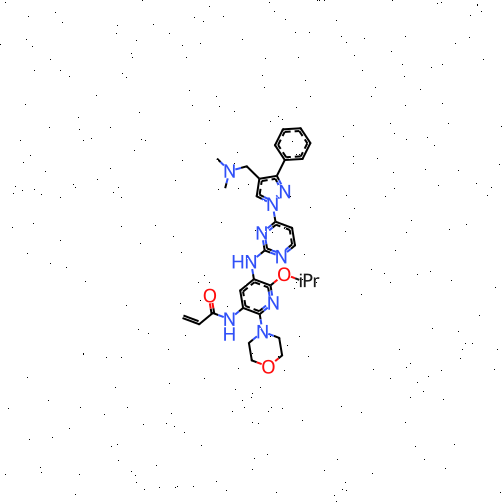 C=CC(=O)Nc1cc(Nc2nccc(-n3cc(CN(C)C)c(-c4ccccc4)n3)n2)c(OC(C)C)nc1N1CCOCC1